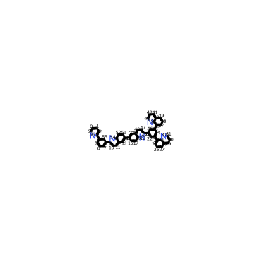 c1ccc(-c2cccc(-c3ccc4cc(-c5ccc6nc(-c7cc(-c8cccc9cccnc89)cc(-c8cccc9cccnc89)c7)ccc6c5)ccc4n3)c2)nc1